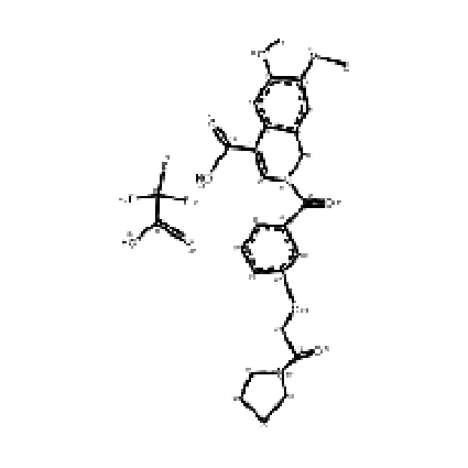 COc1cc2c(cc1OC)C(C(=O)O)=CN(C(=O)c1cccc(OCC(=O)N3CCCC3)c1)C2.O=C(O)C(F)(F)F